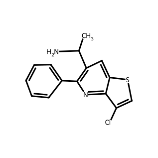 CC(N)c1cc2scc(Cl)c2nc1-c1ccccc1